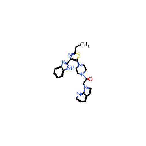 CCc1nc(-c2nc3ccccc3[nH]2)c(N2CCN(C(=O)Cn3ccc4cccnc43)CC2)s1